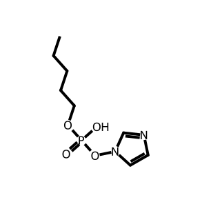 CCCCCOP(=O)(O)On1ccnc1